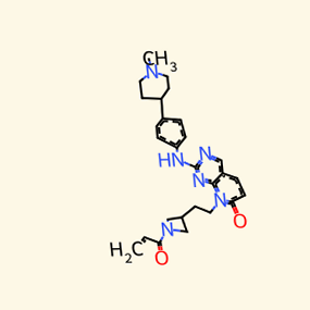 C=CC(=O)N1CC(CCn2c(=O)ccc3cnc(Nc4ccc(C5CCN(C)CC5)cc4)nc32)C1